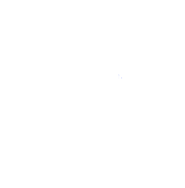 [CH](Cc1ccccc1)CN1CCCCC1